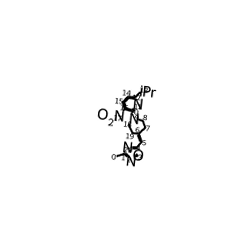 Cc1noc(C=C2CCN(c3nc(C(C)C)ccc3[N+](=O)[O-])CC2)n1